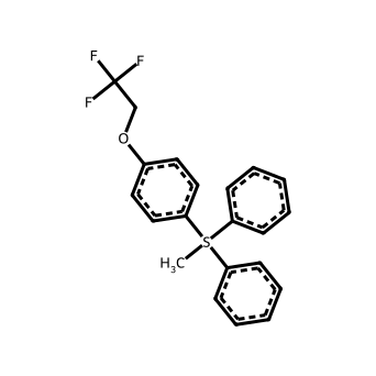 CS(c1ccccc1)(c1ccccc1)c1ccc(OCC(F)(F)F)cc1